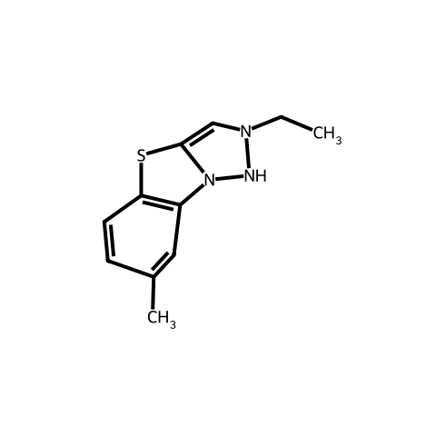 CCN1C=C2Sc3ccc(C)cc3N2N1